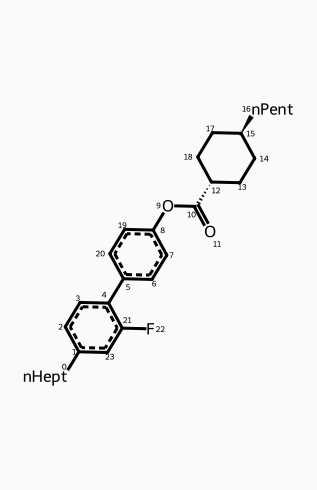 CCCCCCCc1ccc(-c2ccc(OC(=O)[C@H]3CC[C@H](CCCCC)CC3)cc2)c(F)c1